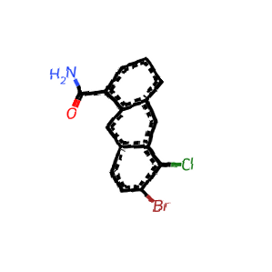 NC(=O)c1cccc2cc3c(Cl)c(Br)ccc3cc12